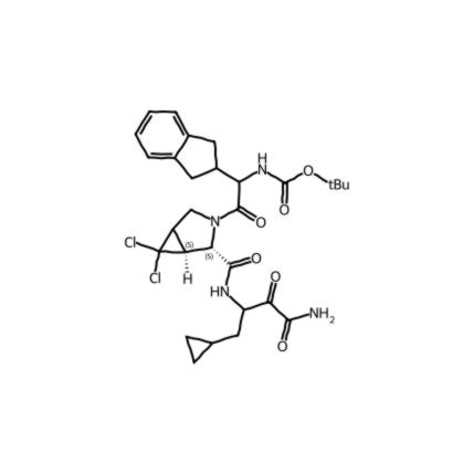 CC(C)(C)OC(=O)NC(C(=O)N1CC2[C@@H]([C@H]1C(=O)NC(CC1CC1)C(=O)C(N)=O)C2(Cl)Cl)C1Cc2ccccc2C1